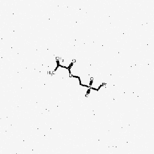 C=C(C)C(=O)OCCS(=O)(=O)CC(C)C